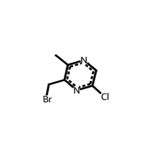 Cc1ncc(Cl)nc1CBr